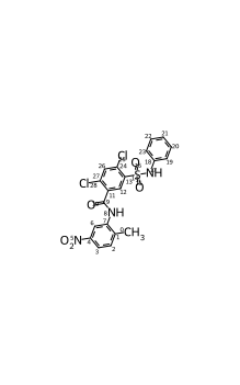 Cc1ccc([N+](=O)[O-])cc1NC(=O)c1cc(S(=O)(=O)Nc2ccccc2)c(Cl)cc1Cl